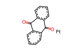 O=C1c2ccccc2C(=O)c2ccccc21.[Pt]